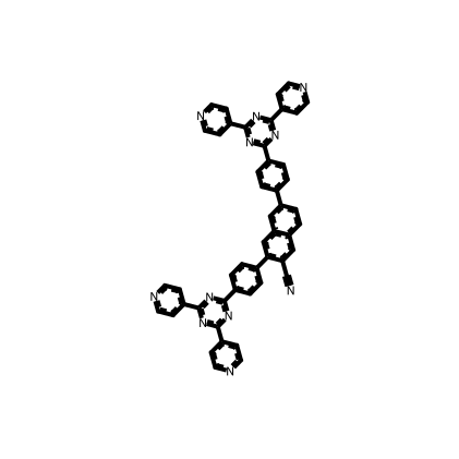 N#Cc1cc2ccc(-c3ccc(-c4nc(-c5ccncc5)nc(-c5ccncc5)n4)cc3)cc2cc1-c1ccc(-c2nc(-c3ccncc3)nc(-c3ccncc3)n2)cc1